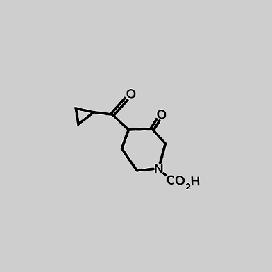 O=C1CN(C(=O)O)CCC1C(=O)C1CC1